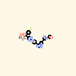 CC(O)(c1ccc(F)cc1)c1cnc(N2CC=C(c3ncnn4cc(-c5cnn(C6CCOC6)c5)cc34)CC2)nc1